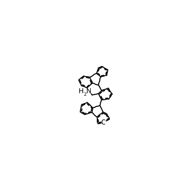 NCc1c(C2c3ccccc3-c3ccccc32)cccc1C1c2ccccc2-c2ccccc21